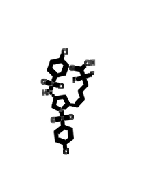 O=C(O)C(F)(F)CC/C=C\[C@@H]1C[C@@H](NS(=O)(=O)c2ccc(Cl)cc2)CN1S(=O)(=O)c1ccc(Cl)cc1